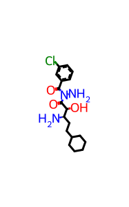 N[C@H](CCC1CCCCC1)C(O)C(=O)N(N)C(=O)c1cccc(Cl)c1